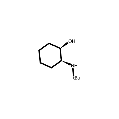 CC(C)(C)N[C@H]1CCCC[C@H]1O